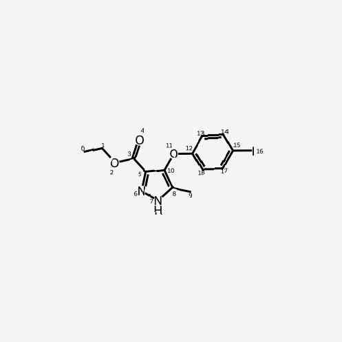 CCOC(=O)c1n[nH]c(C)c1Oc1ccc(I)cc1